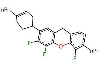 CCCC1=CCC(c2cc3c(c(F)c2F)Oc2c(ccc(CCC)c2F)C3)CC1